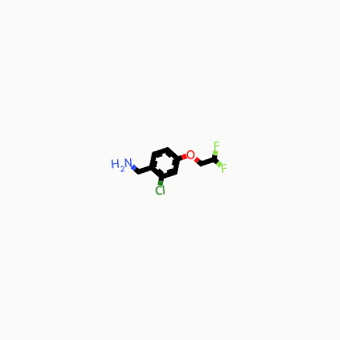 NCc1ccc(OCC(F)F)cc1Cl